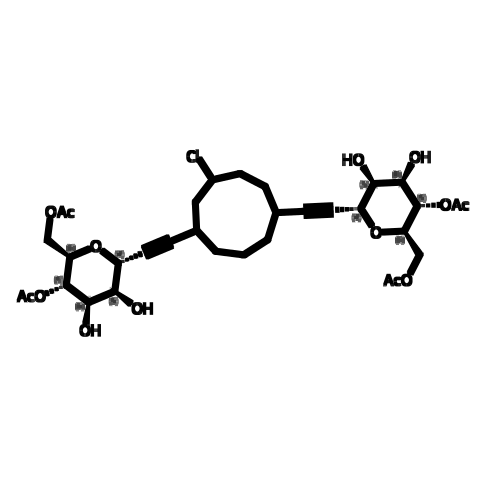 CC(=O)OC[C@H]1O[C@H](C#CC2CCCC(C#C[C@H]3O[C@H](COC(C)=O)[C@@H](OC(C)=O)[C@H](O)[C@@H]3O)CC(Cl)CC2)[C@@H](O)[C@@H](O)[C@@H]1OC(C)=O